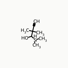 C#CC(C)(C)C(O)[SiH](C)C